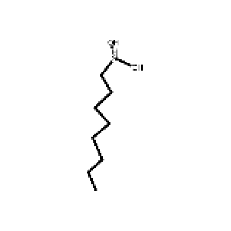 CCCCCCCC[SiH](O)O